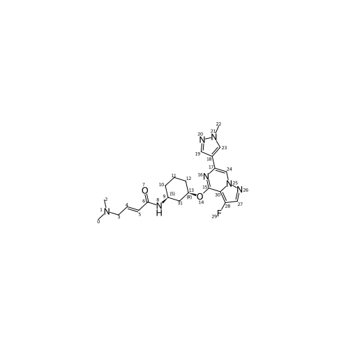 CN(C)CC=CC(=O)N[C@H]1CCC[C@@H](Oc2nc(-c3cnn(C)c3)cn3ncc(F)c23)C1